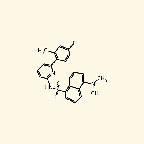 Cc1cc(F)ccc1-c1cccc(NS(=O)(=O)c2cccc3c(N(C)C)cccc23)n1